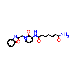 NC(=O)/C=C/CCCC(=O)Nc1cccn(Cc2nc3ccccc3o2)c1=O